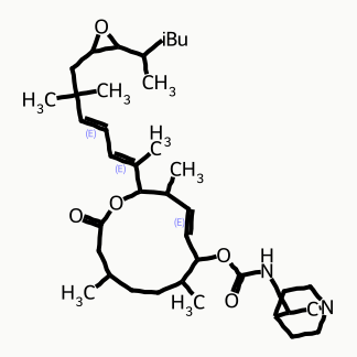 CCC(C)C(C)C1OC1CC(C)(C)/C=C/C=C(\C)C1OC(=O)CC(C)CCC(C)C(OC(=O)NC2CN3CCC2CC3)/C=C/C1C